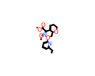 CCc1cccc(OCC2OCCC=C2/C(=N/OC)C(=O)OC)n1